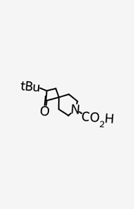 CC(C)(C)C1CC2(CCN(C(=O)O)CC2)C1=O